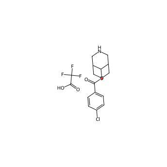 O=C(O)C(F)(F)F.O=C(OC1C2CNCC1CSC2)c1ccc(Cl)cc1